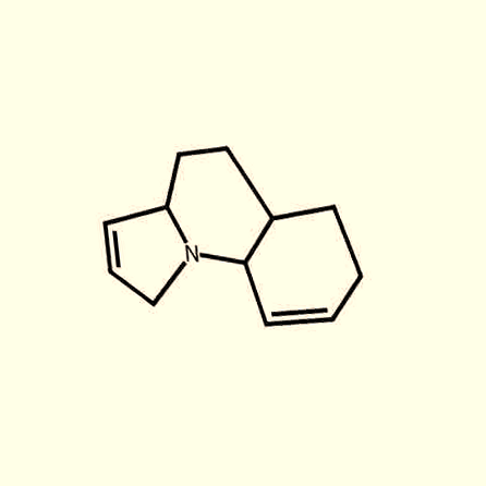 C1=CC2C(CC1)CCC1C=CCN12